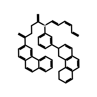 C=C/C=C\C=C\N(C(=C)CCC(=C)c1ccc2ccc3ccccc3c2c1)c1cccc(C2C=Cc3ccc4c(c3C2)CCC=C4)c1